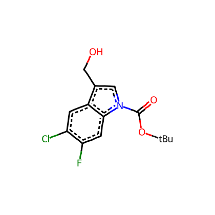 CC(C)(C)OC(=O)n1cc(CO)c2cc(Cl)c(F)cc21